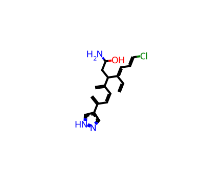 C=C/C(=C\C=C\Cl)C(CC(N)O)C(=C)/C=C\C(=C)c1cn[nH]c1